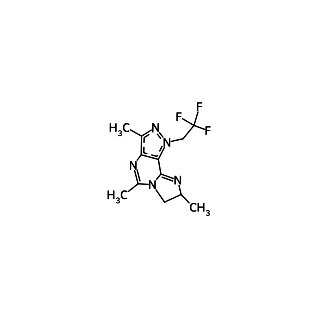 CC1=Nc2c(C)nn(CC(F)(F)F)c2C2=NC(C)CN12